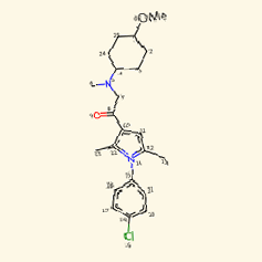 COC1CCC(N(C)CC(=O)c2cc(C)n(-c3ccc(Cl)cc3)c2C)CC1